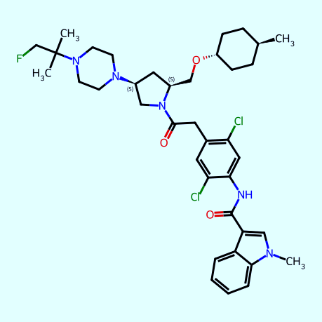 Cn1cc(C(=O)Nc2cc(Cl)c(CC(=O)N3C[C@@H](N4CCN(C(C)(C)CF)CC4)C[C@H]3CO[C@H]3CC[C@H](C)CC3)cc2Cl)c2ccccc21